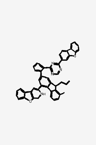 CCCC1c2cc(-c3ccccc3-c3ncnc(-c4ccc5c(c4)oc4ccccc45)n3)cc(C3=Cc4c(oc5ccccc45)CN3)c2-c2cccc(C)c21